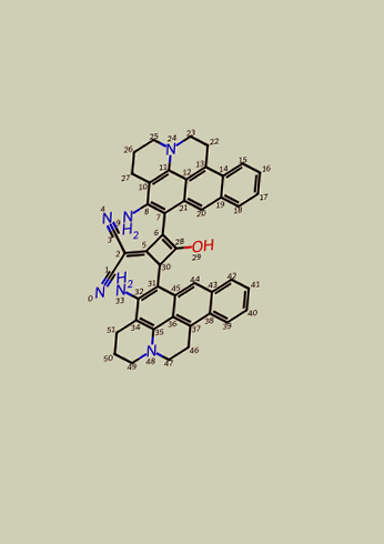 N#CC(C#N)=C1C(c2c(N)c3c4c5c(c6ccccc6cc25)CCN4CCC3)=C(O)C1c1c(N)c2c3c4c(c5ccccc5cc14)CCN3CCC2